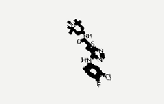 CN1C(C)(C)CC(NC(=O)c2cc3c(Nc4ccc(F)c(Cl)c4)ncnc3s2)CC1(C)C